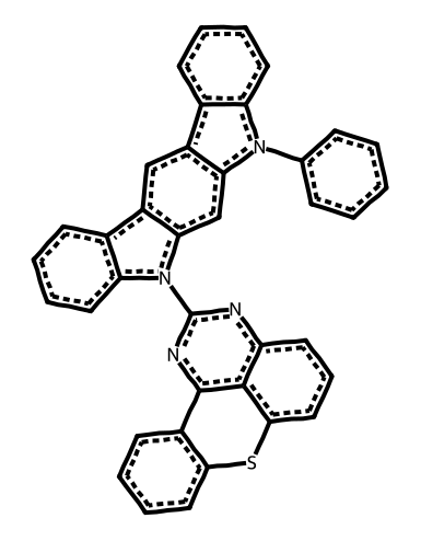 c1ccc(-n2c3ccccc3c3cc4c5ccccc5n(-c5nc6c7c(cccc7n5)Sc5ccccc5-6)c4cc32)cc1